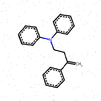 C=C(CCN(c1ccccc1)c1ccccc1)c1ccccc1